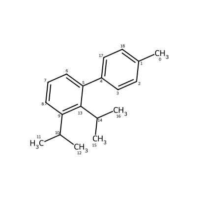 Cc1ccc(-c2cc[c]c(C(C)C)c2C(C)C)cc1